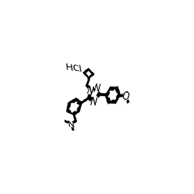 COc1ccc(-c2nc(-c3cccc(CN(C)C)c3)n(CC3CCC3)n2)cc1.Cl